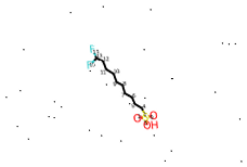 O=S(=O)(O)CCCCCCCCCC(F)F